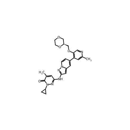 Cc1cc(-c2ccn3nc(Nc4cc(C)c(=O)n(C5CC5)n4)cc3c2)c(OC[C@@H]2COCCO2)cn1